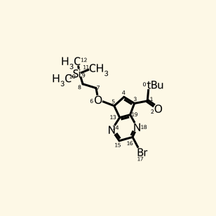 CC(C)(C)C(=O)C1=CC(OCC[Si](C)(C)C)c2ncc(Br)nc21